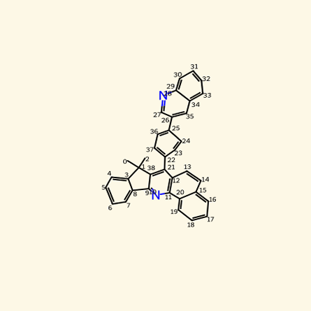 CC1(C)c2ccccc2-c2nc3c(ccc4ccccc43)c(-c3ccc(-c4cnc5ccccc5c4)cc3)c21